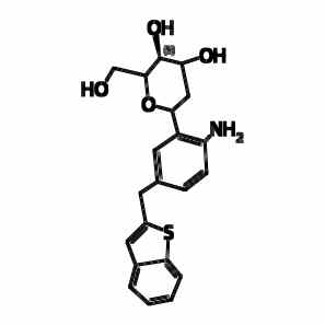 Nc1ccc(Cc2cc3ccccc3s2)cc1C1CC(O)[C@H](O)C(CO)O1